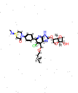 CN=S1CCN(c2ccc(-c3nc4[nH]c(O[C@@H]5CO[C@H]6[C@@H]5OC[C@H]6O)nc4c(COCC[Si](C)(C)C)c3Cl)cc2)C(=O)C1